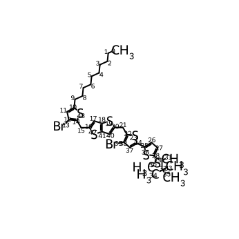 CCCCCCCCCCc1cc(Br)c(Cc2cc3sc(Cc4sc(-c5ccc([Si](C)(C)C(C)(C)C)s5)cc4Br)cc3s2)s1